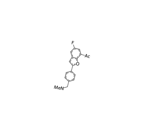 CNCc1ccc(-c2cc3cc(F)cc(C(C)=O)c3o2)cc1